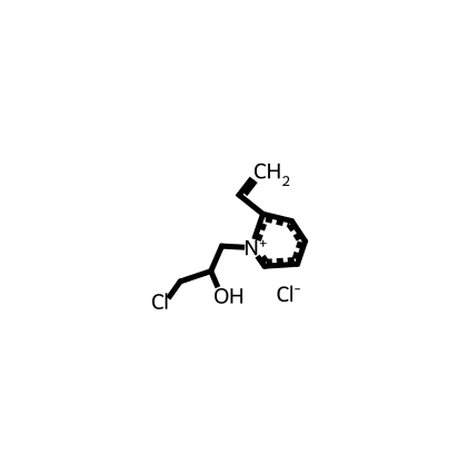 C=Cc1cccc[n+]1CC(O)CCl.[Cl-]